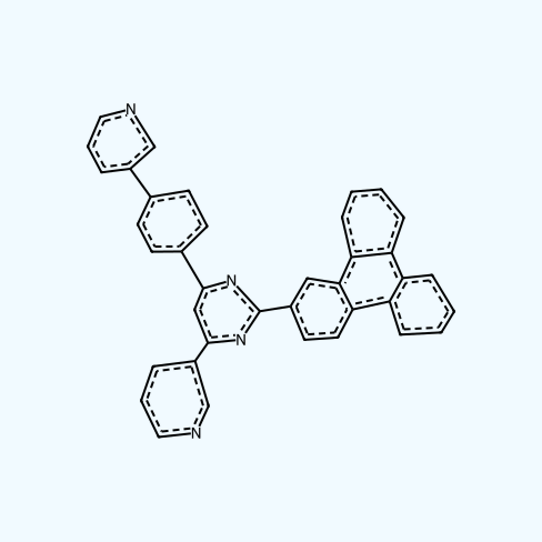 c1cncc(-c2ccc(-c3cc(-c4cccnc4)nc(-c4ccc5c6ccccc6c6ccccc6c5c4)n3)cc2)c1